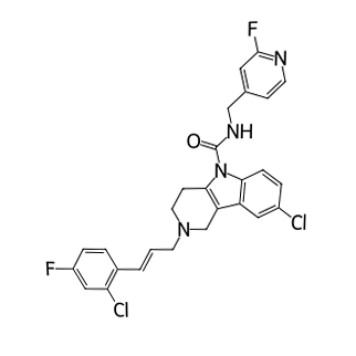 O=C(NCc1ccnc(F)c1)n1c2c(c3cc(Cl)ccc31)CN(CC=Cc1ccc(F)cc1Cl)CC2